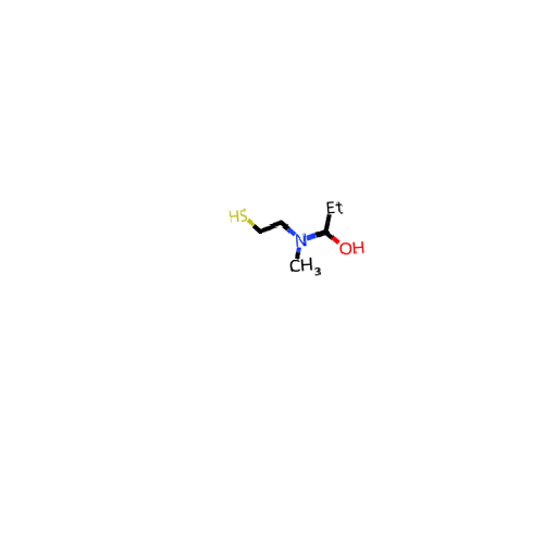 CCC(O)N(C)CCS